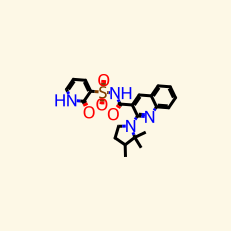 CC1CCN(c2nc3ccccc3cc2C(=O)NS(=O)(=O)c2ccc[nH]c2=O)C1(C)C